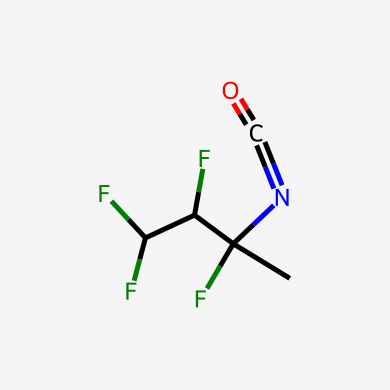 CC(F)(N=C=O)C(F)C(F)F